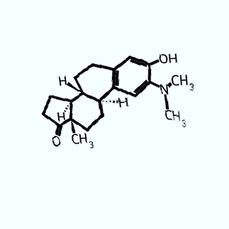 CN(C)c1cc2c(cc1O)CC[C@@H]1[C@@H]2CC[C@]2(C)C(=O)CC[C@@H]12